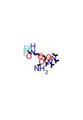 CC(C)N(C(C)C)P(OC(COCCN)COCCNC(=O)C(F)(F)F)N(C(C)C)C(C)C